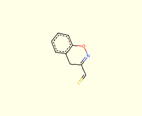 S=CC1=NOc2ccccc2C1